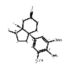 COc1cc([C@]23CCC(=O)C[C@H]2N(C)CC3)cc(OC)c1OC